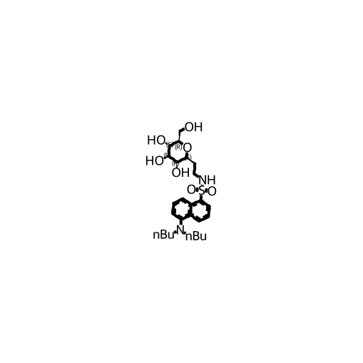 CCCCN(CCCC)c1cccc2c(S(=O)(=O)NCC[C@@H]3O[C@H](CO)[C@@H](O)[C@H](O)[C@H]3O)cccc12